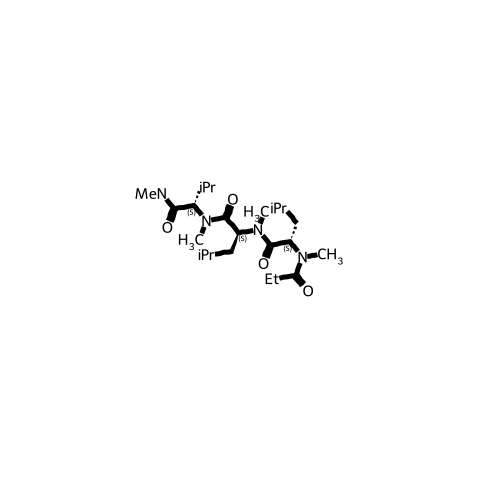 CCC(=O)N(C)[C@@H](CC(C)C)C(=O)N(C)[C@@H](CC(C)C)C(=O)N(C)[C@H](C(=O)NC)C(C)C